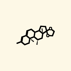 CC1=CC2=CCC3C([C@@H](C)C[C@@]4(C)C3CCC43OCCO3)[C@@]2(C)CC1